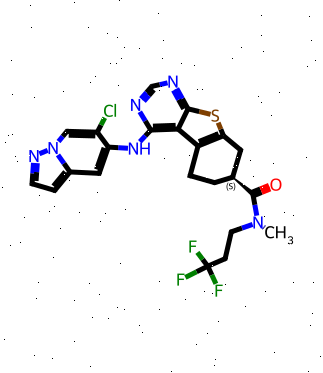 CN(CCC(F)(F)F)C(=O)[C@H]1CCc2c(sc3ncnc(Nc4cc5ccnn5cc4Cl)c23)C1